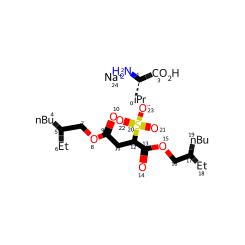 CC(C)[C@H](N)C(=O)O.CCCCC(CC)COC(=O)CC(C(=O)OCC(CC)CCCC)S(=O)(=O)[O-].[Na+]